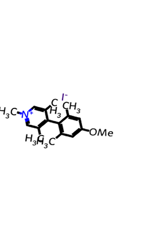 COc1cc(C)c(-c2c(C)c[n+](C)cc2C)c(C)c1.[I-]